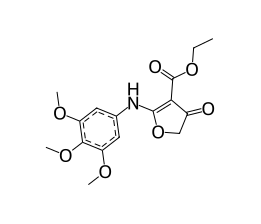 CCOC(=O)C1=C(Nc2cc(OC)c(OC)c(OC)c2)OCC1=O